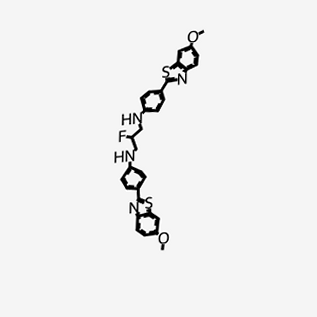 COc1ccc2nc(-c3ccc(NCC(F)CNc4ccc(-c5nc6ccc(OC)cc6s5)cc4)cc3)sc2c1